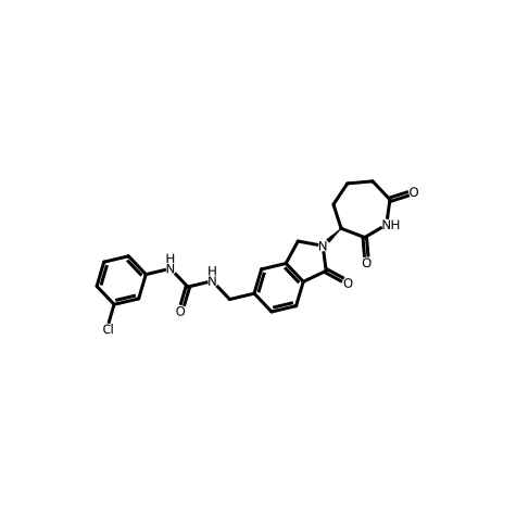 O=C1CCC[C@H](N2Cc3cc(CNC(=O)Nc4cccc(Cl)c4)ccc3C2=O)C(=O)N1